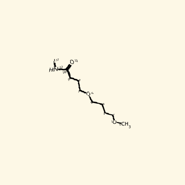 COCCCCOCCCC(=O)NI